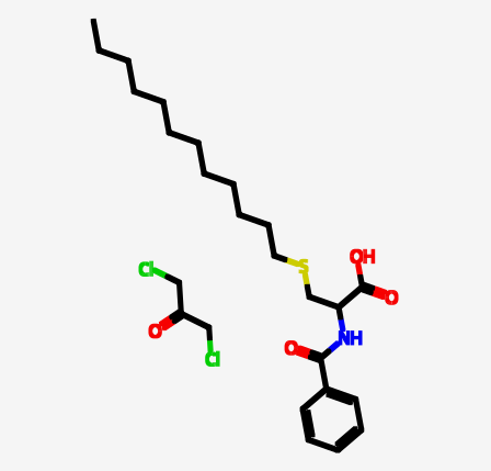 CCCCCCCCCCCCSCC(NC(=O)c1ccccc1)C(=O)O.O=C(CCl)CCl